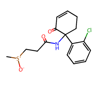 C[S+]([O-])CCC(=O)NC1(c2ccccc2Cl)CCC=CC1=O